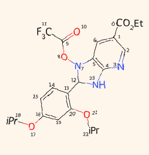 CCOC(=O)c1cnc2c(c1)N(OC(=O)C(F)(F)F)C(c1ccc(OC(C)C)cc1OC(C)C)N2